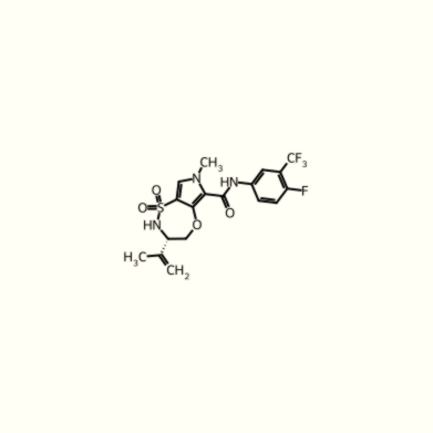 C=C(C)[C@H]1COc2c(cn(C)c2C(=O)Nc2ccc(F)c(C(F)(F)F)c2)S(=O)(=O)N1